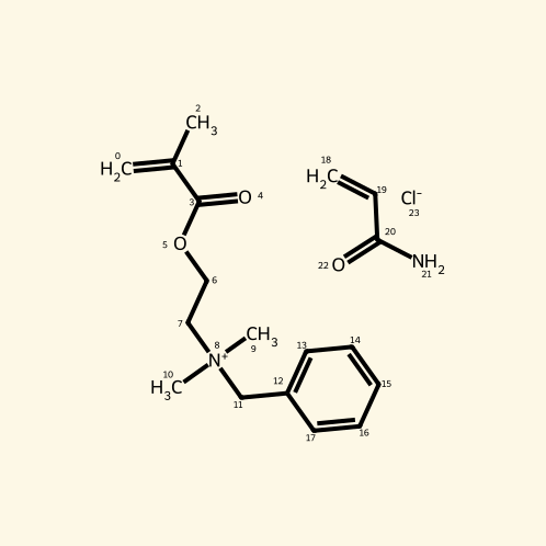 C=C(C)C(=O)OCC[N+](C)(C)Cc1ccccc1.C=CC(N)=O.[Cl-]